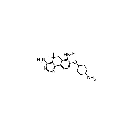 CCNc1c(OC2CCC(N)CC2)ccc2c1CC(C)(C)c1c(N)ncnc1-2